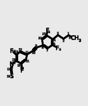 CCCCc1c(F)cc(C#Cc2cc(F)c(N=C=S)c(F)c2)cc1F